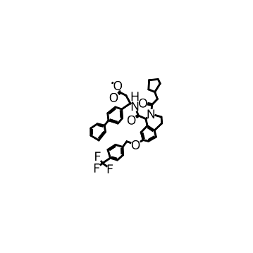 COC(=O)CC(NC(=O)C1c2cc(OCc3ccc(C(F)(F)F)cc3)ccc2CCN1C(=O)CC1CCCC1)c1ccc(-c2ccccc2)cc1